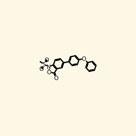 CS(=O)(=O)n1oc(=O)c2cc(-c3ccc(Oc4ccccc4)cc3)ccc21